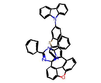 c1ccc(-c2nc(-c3ccccc3)nc(-c3cccc4oc5cccc(-c6ccc7sc8cc(-n9c%10ccccc%10c%10ccccc%109)ccc8c7c6)c5c34)n2)cc1